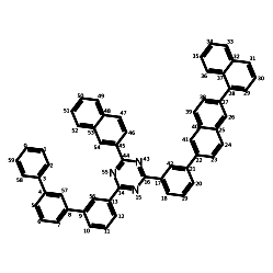 c1ccc(-c2cccc(-c3cccc(-c4nc(-c5cccc(-c6ccc7cc(-c8cccc9ccccc89)ccc7c6)c5)nc(-c5ccc6ccccc6c5)n4)c3)c2)cc1